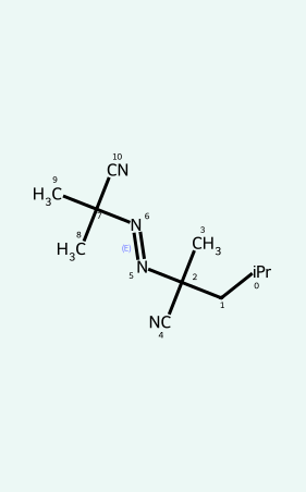 CC(C)CC(C)(C#N)/N=N/C(C)(C)C#N